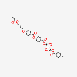 C=CC(=O)OCCCCOc1ccc(C(=O)Oc2ccc(C(=O)O[C@H]3COC4C3OC[C@H]4OC(=O)c3ccc(C)cc3)cc2)cc1